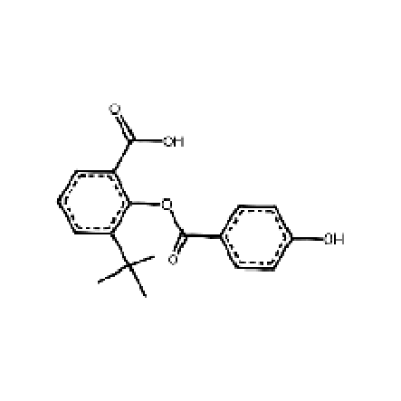 CC(C)(C)c1cccc(C(=O)O)c1OC(=O)c1ccc(O)cc1